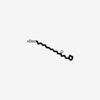 CCCCCCCCCCCCCCCCCCCCCCC(=O)CCCC1CCCC1